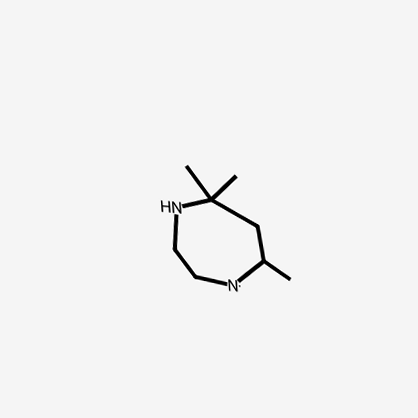 CC1CC(C)(C)NCC[N]1